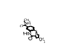 CCNC(=O)c1ccc2c(c1)NC(=O)c1cc(C)cn1S2